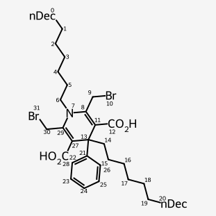 CCCCCCCCCCCCCCCCN1C(CBr)=C(C(=O)O)C(CCCCCCCCCCCCCCCC)(c2ccccc2)C(C(=O)O)=C1CBr